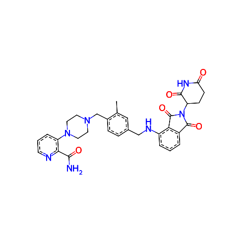 Cc1cc(CNc2cccc3c2C(=O)N(C2CCC(=O)NC2=O)C3=O)ccc1CN1CCN(c2cccnc2C(N)=O)CC1